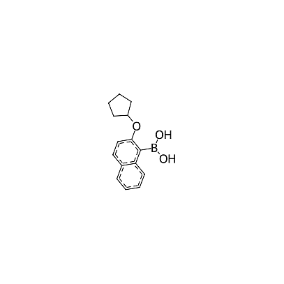 OB(O)c1c(OC2CCCC2)ccc2ccccc12